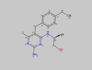 CCC[C@@H](CO)Nc1nc(N)nc(C)c1Cc1ccc(CC#N)cc1